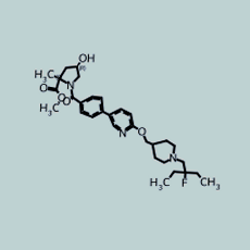 CCC(F)(CC)CN1CCC(COc2ccc(-c3ccc(C(=O)N4C[C@H](O)C[C@@]4(C)C(=O)OC)cc3)cn2)CC1